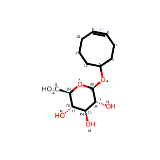 O=C(O)[C@H]1O[C@@H](OC2CC/C=C\CCC2)[C@H](O)[C@@H](O)[C@@H]1O